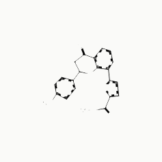 COC(=O)c1ccc(-c2cccc3c2OC(c2ccc(C#N)cc2)CC3=O)o1